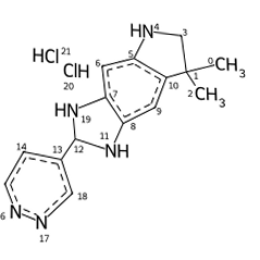 CC1(C)CNc2cc3c(cc21)NC(c1ccnnc1)N3.Cl.Cl